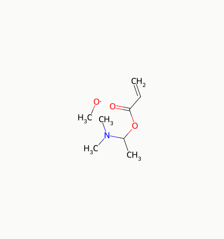 C=CC(=O)OC(C)N(C)C.C[O]